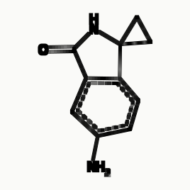 Nc1ccc2c(c1)C(=O)NC21CC1